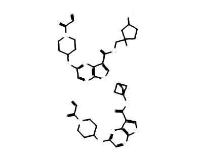 C=CC(=O)N1CCC(Oc2cnc3[nH]cc(C(=O)NC45CC(C4)C5)c3n2)CC1.C=CC(=O)N1CCC(Oc2cnc3[nH]cc(C(=O)NCC4(O)CCC(C)C4)c3n2)CC1